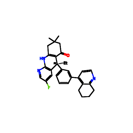 CC[C@@]1(c2cccc(-c3ccnc4c3CCCC4)c2)C2=C(CC(C)(C)CC2=O)Nc2ncc(F)cc21